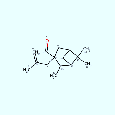 C=C(C)CC1(C=O)CC2CC(C1C)C2(C)C